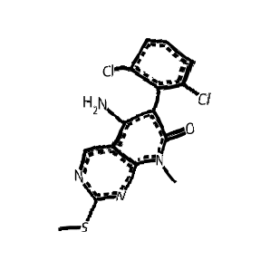 CSc1ncc2c(N)c(-c3c(Cl)cccc3Cl)c(=O)n(C)c2n1